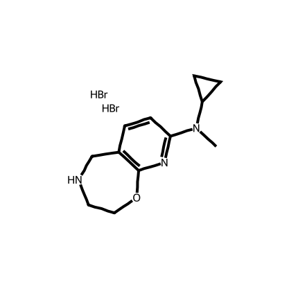 Br.Br.CN(c1ccc2c(n1)OCCNC2)C1CC1